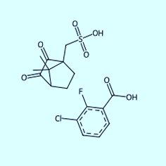 CC1(C)C2CCC1(CS(=O)(=O)O)C(=O)C2=O.O=C(O)c1cccc(Cl)c1F